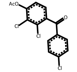 CC(=O)Oc1ccc(C(=O)c2ccc(Cl)cc2)c(Cl)c1Cl